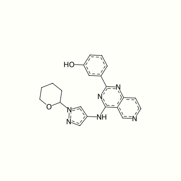 Oc1cccc(-c2nc(Nc3cnn(C4CCCCO4)c3)c3cnccc3n2)c1